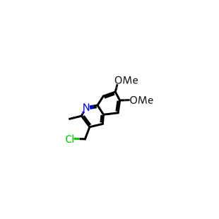 COc1cc2cc(CCl)c(C)nc2cc1OC